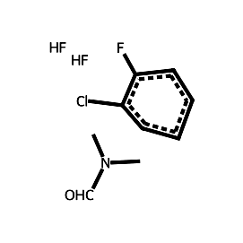 CN(C)C=O.F.F.Fc1ccccc1Cl